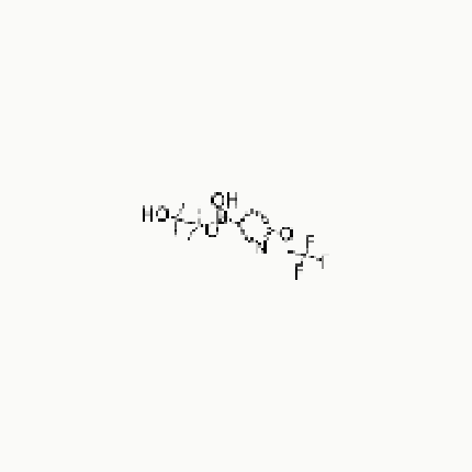 CC(C)(O)C(C)(C)OB(O)c1ccc(OCC(F)(F)F)nc1